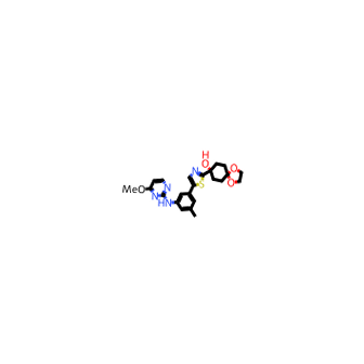 COc1ccnc(Nc2cc(C)cc(-c3cnc(C4(O)CCC5(CC4)OCCO5)s3)c2)n1